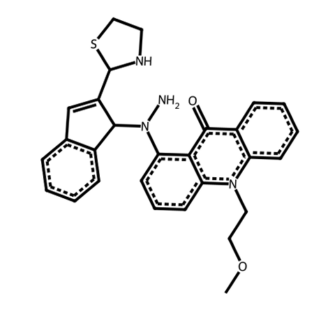 COCCn1c2ccccc2c(=O)c2c(N(N)C3C(C4NCCS4)=Cc4ccccc43)cccc21